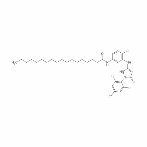 CCCCCCCCCCCCCCCCCC(=O)Nc1ccc(Cl)c(Nc2cc(=O)n(-c3c(Cl)cc(Cl)cc3Cl)[nH]2)c1